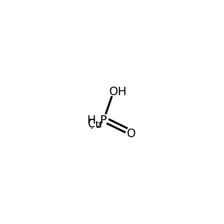 O=[PH2]O.[Cu]